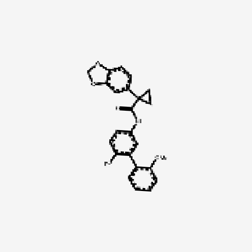 CCc1ccc(NC(=O)C2(c3ccc4c(c3)OCO4)CC2)cc1-c1ccccc1OC